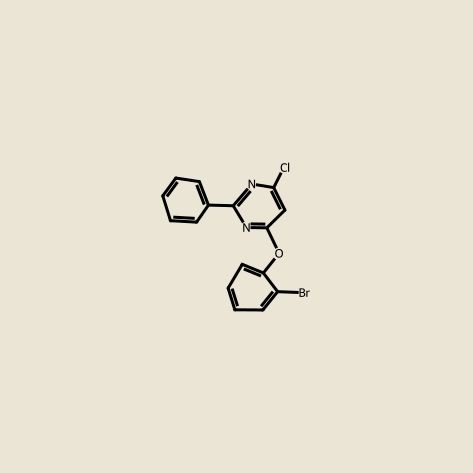 Clc1cc(Oc2ccccc2Br)nc(-c2ccccc2)n1